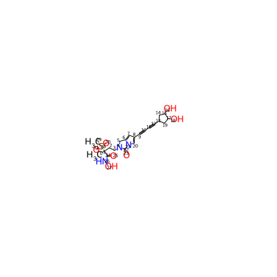 C[C@@](CCN1Cc2cc(C#CC#C[C@H]3C[C@@H](O)[C@@H](O)C3)cn2C1=O)(C(=O)NO)S(C)(=O)=O